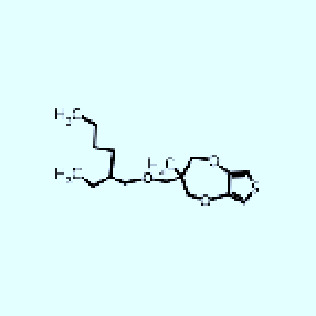 CCCCC(CC)COCC1(C)COc2cscc2OC1